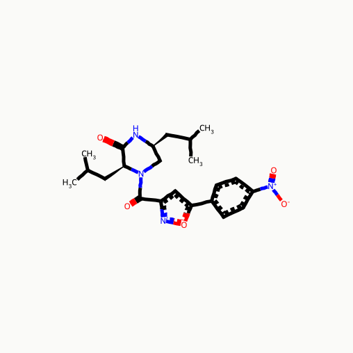 CC(C)C[C@H]1CN(C(=O)c2cc(-c3ccc([N+](=O)[O-])cc3)on2)[C@@H](CC(C)C)C(=O)N1